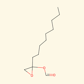 CCCCCCCCCC1(OC=O)CO1